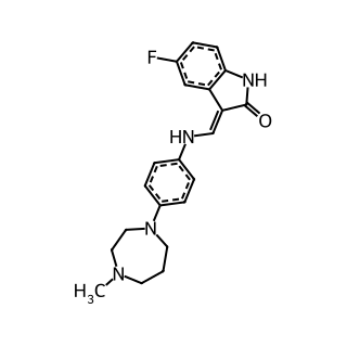 CN1CCCN(c2ccc(N/C=C3/C(=O)Nc4ccc(F)cc43)cc2)CC1